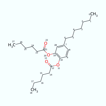 CCCCCCCc1ccc(OC(=O)CCCCC)c(OC(=O)CCCCC)c1